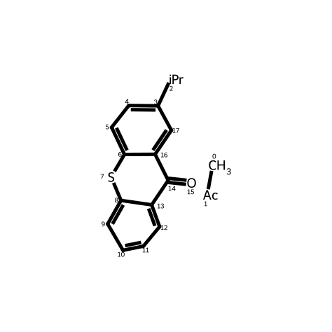 CC(C)=O.CC(C)c1ccc2sc3ccccc3c(=O)c2c1